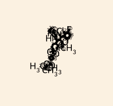 COC(=O)C1=C(C2CCN(S(=O)(=O)[C@H]3C[C@@H](C(=O)OC(C)(C)C)C3)CC2)NC(c2nccs2)=NC1c1cccc(F)c1Cl